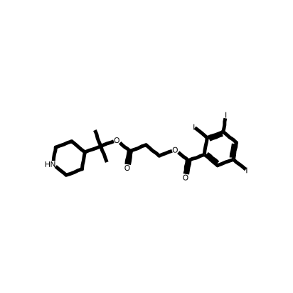 CC(C)(OC(=O)CCOC(=O)c1cc(I)cc(I)c1I)C1CCNCC1